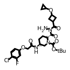 CC(C)(C)OC(=O)N1C[C@@H](NC(=O)COc2ccc(Cl)c(F)c2)CC[C@@H]1C(=O)N(N)C(=O)C1CC(OC2CC2)C1